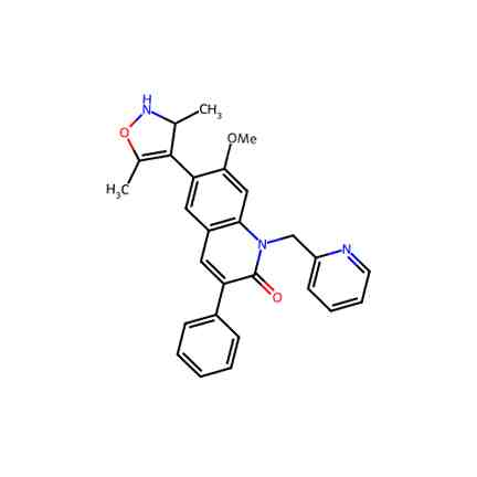 COc1cc2c(cc1C1=C(C)ONC1C)cc(-c1ccccc1)c(=O)n2Cc1ccccn1